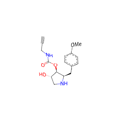 C#CCNC(=O)O[C@@H]1[C@@H](O)CN[C@@H]1Cc1ccc(OC)cc1